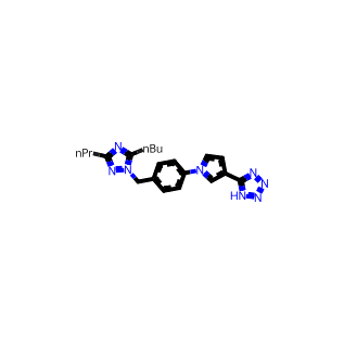 CCCCc1nc(CCC)nn1Cc1ccc(-n2ccc(-c3nnn[nH]3)c2)cc1